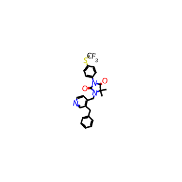 CC1(C)C(=O)N(c2ccc(SC(F)(F)F)cc2)C(=O)N1Cc1ccncc1Cc1ccccc1